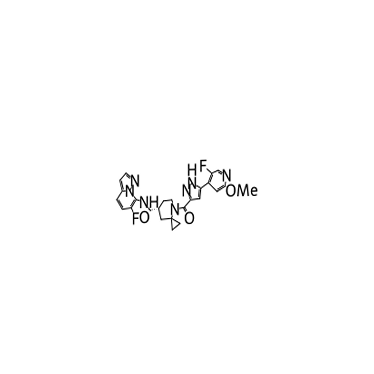 COc1cc(-c2cc(C(=O)N3CC[C@@H](C(=O)Nc4c(F)ccc5ccnn45)CC34CC4)n[nH]2)c(F)cn1